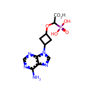 Nc1ncnc2c1ncn2C1CC(OC(C(=O)O)P(=O)(O)O)C1